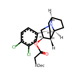 CCCCCCCCCCCC(=O)O[C@H]1CN2[C@@H]3CC[C@H]2[C@H]1[C@H](c1ccc(Cl)c(Cl)c1)C3